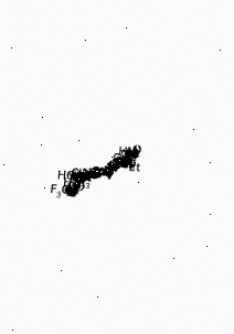 CCOc1ccc(C(=O)N2CCC3(CC2)CC2(CCN4CCC(n5cc6cc(NC(=O)c7cccc(C(F)(F)F)n7)c(C(C)(C)O)cc6n5)CC4)CC32)cc1N1CCC(=O)NC1=O